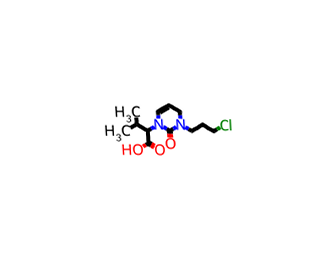 CC(C)C(C(=O)O)N1C=CCN(CCCCl)C1=O